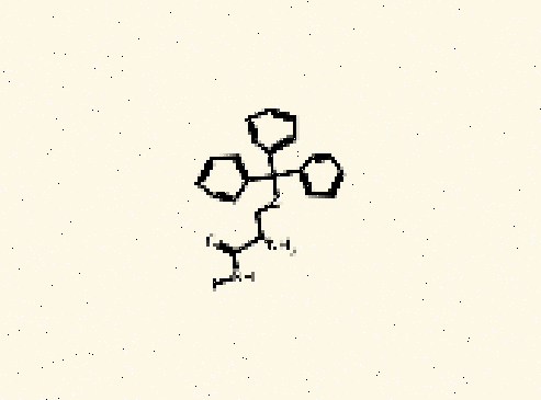 N[C@@H](CSC(c1ccccc1)(c1ccccc1)c1ccccc1)C(=O)NI